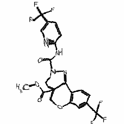 COC(=O)C12COc3cc(C(F)(F)F)ccc3C1=NN(C(=O)Nc1ccc(C(F)(F)F)cn1)C2